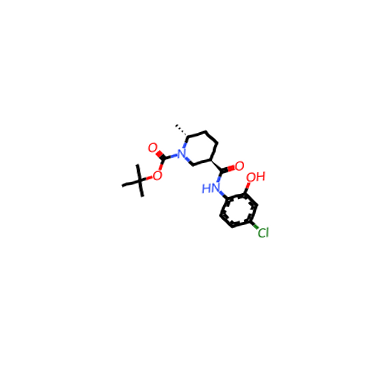 C[C@@H]1CC[C@@H](C(=O)Nc2ccc(Cl)cc2O)CN1C(=O)OC(C)(C)C